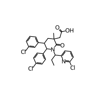 CCC(c1cccc(Cl)n1)N1C(=O)C(C)(CC(=O)O)CC(c2cccc(Cl)c2)C1c1ccc(Cl)cc1